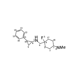 CNC1CCC(F)(CNC2CC2c2ccccc2)CC1